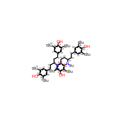 CC(=O)N(CCN(C(C)=O)C(CCc1cc(C(C)(C)C)c(O)c(C(C)(C)C)c1)CCc1cc(C(C)(C)C)c(O)c(C(C)(C)C)c1)C(CCc1cc(C(C)(C)C)c(O)c(C(C)(C)C)c1)CCc1cc(C(C)(C)C)c(O)c(C(C)(C)C)c1